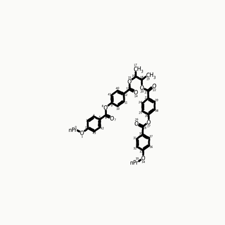 CCCOc1ccc(C(=O)Oc2ccc(C(=O)OC(C)C(C)OC(=O)c3ccc(OC(=O)c4ccc(OCCC)cc4)cc3)cc2)cc1